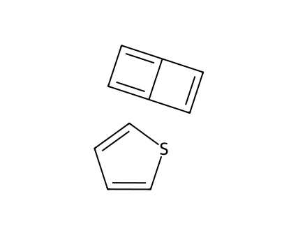 c1cc2ccc1-2.c1ccsc1